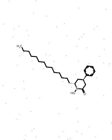 CCCCCCCCCCCCCC[C@@H]1C[C@@H](c2ccccc2)CC(=O)N1O